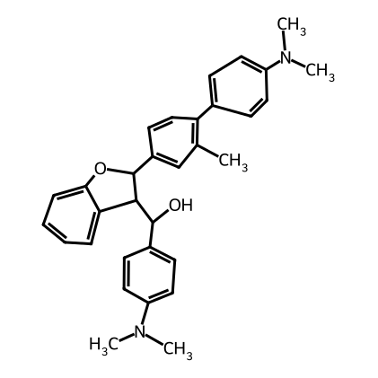 Cc1cc(C2Oc3ccccc3C2C(O)c2ccc(N(C)C)cc2)ccc1-c1ccc(N(C)C)cc1